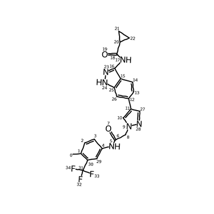 Cc1ccc(NC(=O)Cn2cc(-c3ccc4c(NC(=O)C5CC5)n[nH]c4c3)cn2)cc1C(F)(F)F